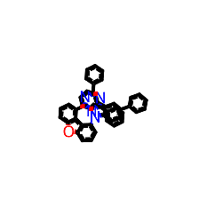 c1ccc(-c2ccc3c(c2)c2ccccc2n3-c2cccc3oc4cccc(-c5nc(-c6ccccc6)nc(-c6ccccc6)n5)c4c23)cc1